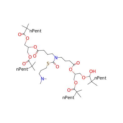 CCCCCC(C)(C)C(=O)OCC(COC(=O)C(C)(C)CCCCC)OC(=O)CCCN(CCCC(=O)OC(COC(=O)C(C)(C)CCCCC)COC(O)C(C)(C)CCCCC)C(=O)SCCCN(C)C